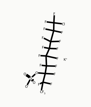 O=S(=O)([O-])OC(F)(C(F)(F)C(F)(F)F)C(F)(F)C(F)(F)C(F)(F)C(F)(F)C(F)(F)C(F)(F)Cl.[K+]